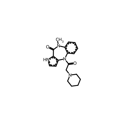 CN1C(=O)c2[nH]ccc2N(C(=O)CN2CCCCC2)c2ccccc21